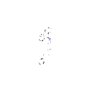 CC(CO/N=C1/c2ccccc2-n2cccc21)NCCc1ccccc1